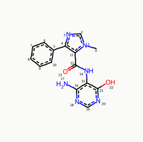 Cn1cnc(-c2ccccc2)c1C(=O)Nc1c(N)ncnc1O